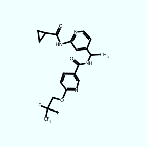 CC(NC(=O)c1ccc(OCC(F)(F)C(F)(F)F)nc1)c1ccnc(NC(=O)C2CC2)c1